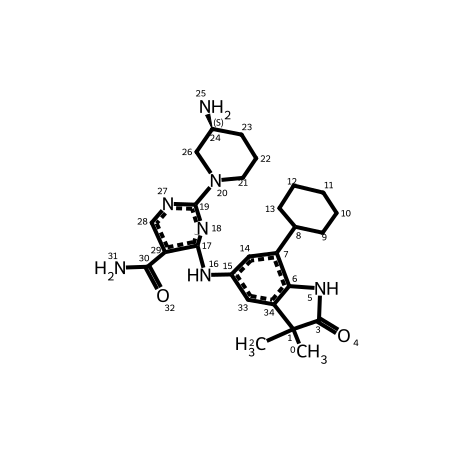 CC1(C)C(=O)Nc2c(C3CCCCC3)cc(Nc3nc(N4CCC[C@H](N)C4)ncc3C(N)=O)cc21